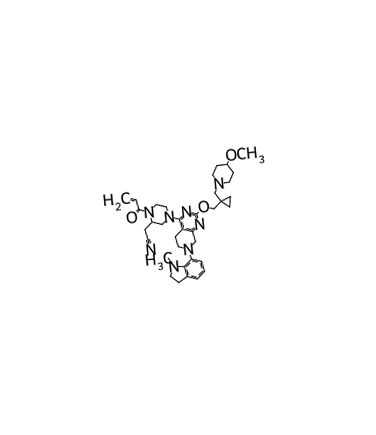 C=CC(=O)N1CCN(c2nc(OCC3(CN4CCC(OC)CC4)CC3)nc3c2CCN(c2cccc4c2N(C)CC4)C3)CC1CC#N